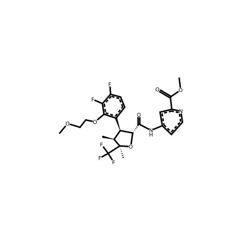 COCCOc1c([C@H]2[C@H](C(=O)Nc3ccnc(C(=O)OC)c3)O[C@@](C)(C(F)(F)F)[C@H]2C)ccc(F)c1F